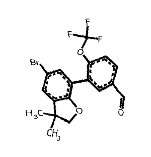 CC1(C)COc2c(-c3cc(C=O)ccc3OC(F)(F)F)cc(Br)cc21